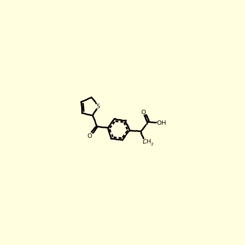 CC(C(=O)O)c1ccc(C(=O)C2C=CCS2)cc1